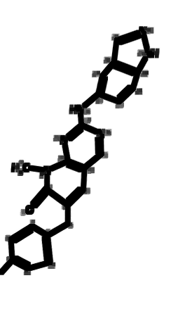 Cn1c(=O)c(Cc2ccc(F)cc2)cc2cnc(Nc3ccc4[nH]ncc4c3)nc21